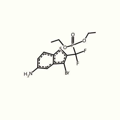 CCOP(=O)(OCC)C(F)(F)c1sc2ccc(N)cc2c1Br